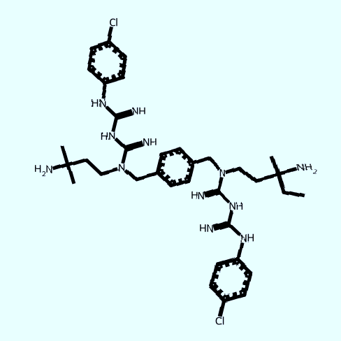 CCC(C)(N)CCN(Cc1ccc(CN(CCC(C)(C)N)C(=N)NC(=N)Nc2ccc(Cl)cc2)cc1)C(=N)NC(=N)Nc1ccc(Cl)cc1